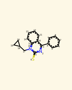 S=c1nc(-c2ccccc2)c2ccccc2n1CC1CC1